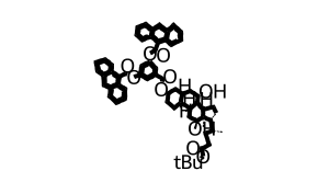 C[C@H](CCC(=O)OC(C)(C)C)[C@H]1CC[C@H]2[C@@H]3[C@H](O)C[C@@H]4C[C@H](OC(=O)c5cc(OC(=O)c6c7ccccc7cc7ccccc67)cc(OC(=O)c6c7ccccc7cc7ccccc67)c5)CC[C@]4(C)[C@H]3C[C@H](O)[C@]12C